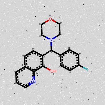 Oc1c(C(c2ccc(F)cc2)N2CCOCC2)ccc2cccnc12